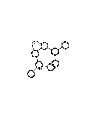 c1ccc(-c2cc(-c3ccccc3)cc(-c3ccc4c(c3)-c3cc(-c5cc(-c6ccccc6)nc(-c6ccccc6)c5)ccc3COC4)c2)cc1